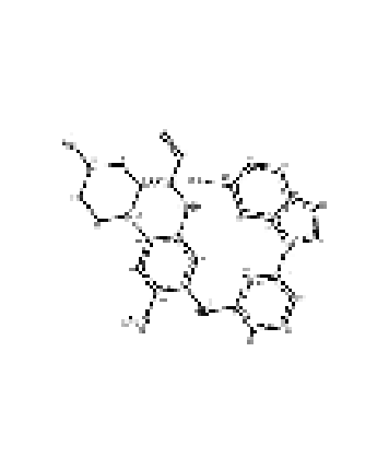 C=CC(=O)Nc1cc(Nc2nccc(-n3ccc4ccc(F)cc43)n2)c(OC)cc1N1CCN(C(C)=O)CC1